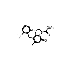 COC(=O)C1CSc2c(Cc3c(F)cccc3C(F)(F)F)c(C)cc(=O)n21